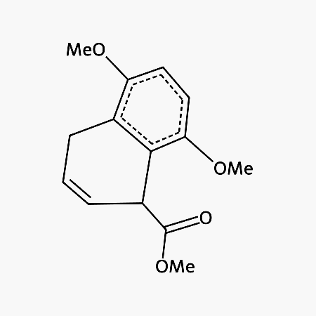 COC(=O)C1C=CCc2c(OC)ccc(OC)c21